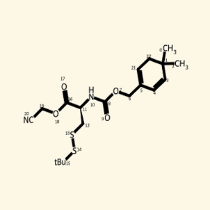 CC1(C)C=CC(COC(=O)N[C@@H](CSSC(C)(C)C)C(=O)OCC#N)=CC1